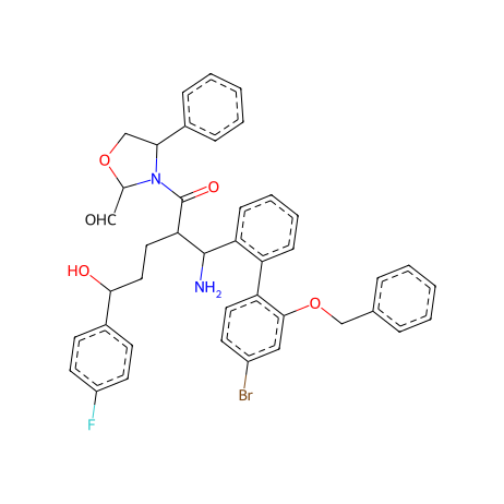 NC(c1ccccc1-c1ccc(Br)cc1OCc1ccccc1)C(CCC(O)c1ccc(F)cc1)C(=O)N1C(C=O)OCC1c1ccccc1